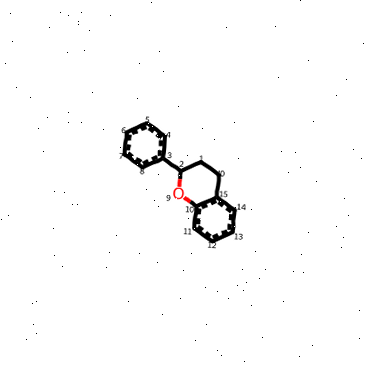 [CH]1CC(c2ccccc2)Oc2ccccc21